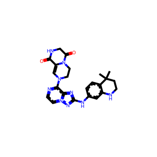 CC1(C)CCNc2cc(Nc3nc4c(N5C=C6C(=O)NCC(=O)N6CC5)nccn4n3)ccc21